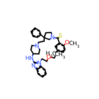 CCOCCn1c(NC2CCN(CCC3(c4ccccc4)CCN(C(=S)c4cc(C)ccc4OC)C3)CC2)nc2ccccc21